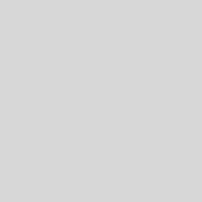 c1cc(-c2ccc3oc4c(ccc5c6ccccc6oc54)c3c2)cc(-c2ccc3c4ccccc4c4ccccc4c3c2)c1